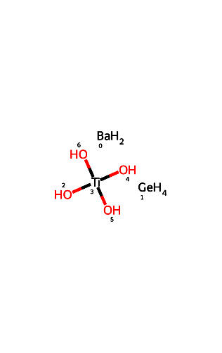 [BaH2].[GeH4].[OH][Ti]([OH])([OH])[OH]